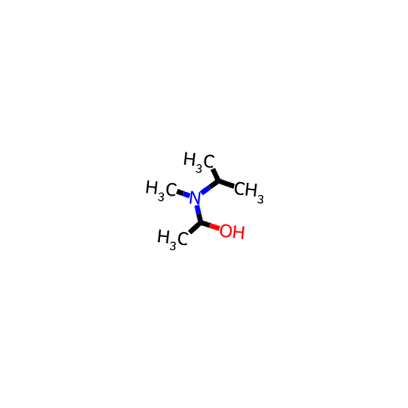 CC(C)N(C)C(C)O